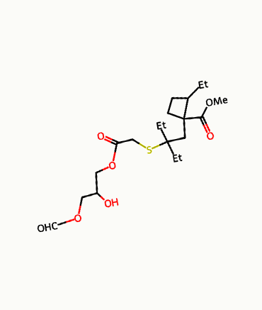 CCC1CCC1(CC(CC)(CC)SCC(=O)OCC(O)COC=O)C(=O)OC